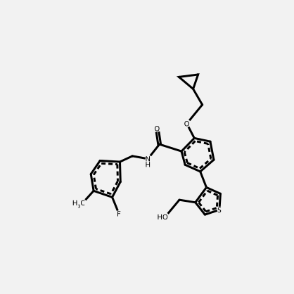 Cc1ccc(CNC(=O)c2cc(-c3cscc3CO)ccc2OCC2CC2)cc1F